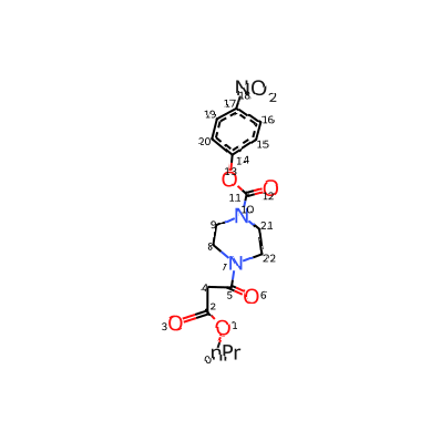 CCCOC(=O)CC(=O)N1CCN(C(=O)Oc2ccc([N+](=O)[O-])cc2)CC1